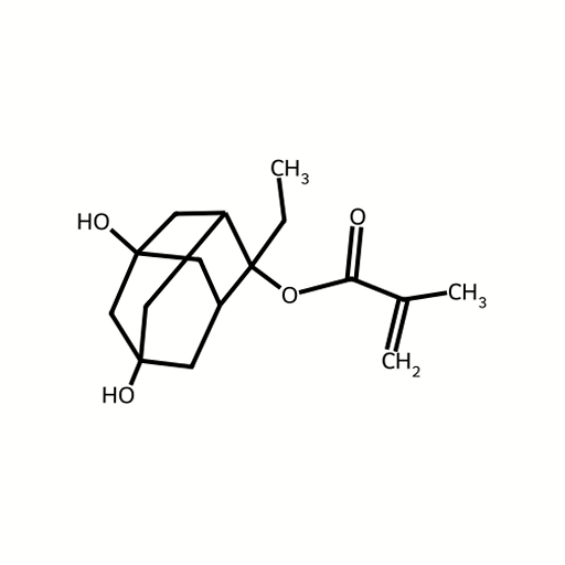 C=C(C)C(=O)OC1(CC)C2CC3(O)CC1CC(O)(C2)C3